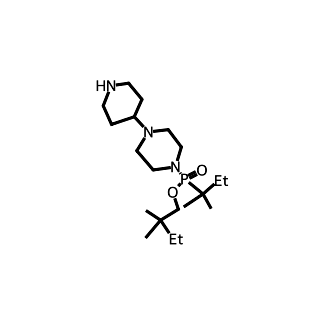 CCC(C)(C)COP(=O)(N1CCN(C2CCNCC2)CC1)C(C)(C)CC